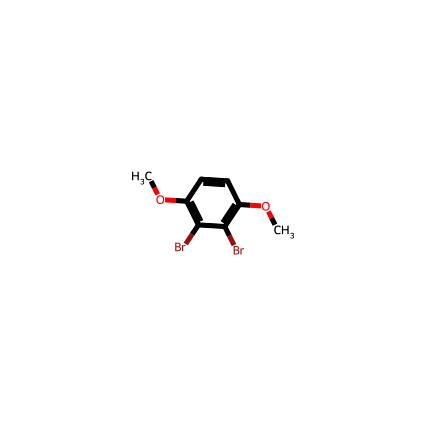 COc1ccc(OC)c(Br)c1Br